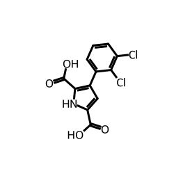 O=C(O)c1cc(-c2cccc(Cl)c2Cl)c(C(=O)O)[nH]1